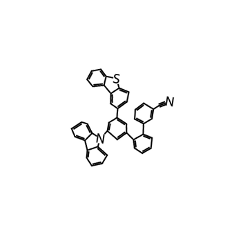 N#Cc1cccc(-c2ccccc2-c2cc(-c3ccc4sc5ccccc5c4c3)cc(-n3c4ccccc4c4ccccc43)c2)c1